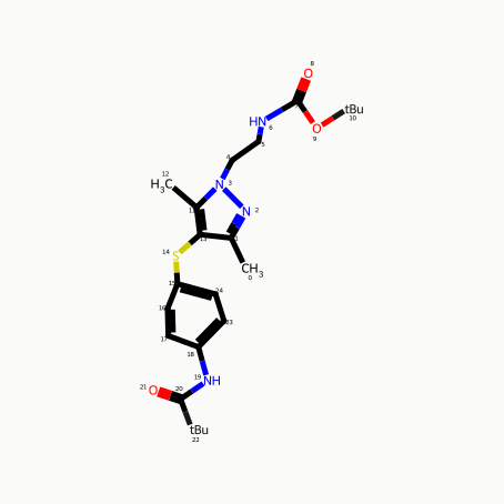 Cc1nn(CCNC(=O)OC(C)(C)C)c(C)c1Sc1ccc(NC(=O)C(C)(C)C)cc1